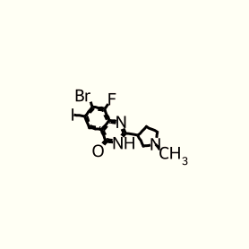 CN1CCC(c2nc3c(F)c(Br)c(I)cc3c(=O)[nH]2)C1